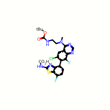 CN(CCNC(=O)OC(C)(C)C)c1ncnc2c(F)c(-c3ccc(F)c4sc(NC(=O)O)nc34)c(Cl)cc12